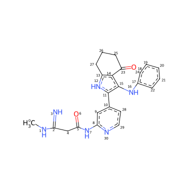 CNC(=N)CC(=O)Nc1cc(-c2[nH]c3c(c2Nc2ccccc2)C(=O)CCC3)ccn1